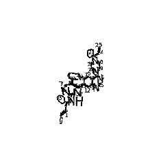 C=CC(=O)Nc1ncc(C)c(-c2cc3ncnc(N4CCN(C(=O)C=C)CC4)c3cc2Cl)n1